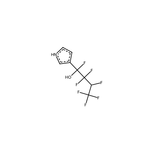 OC(F)(c1cc[nH]c1)C(F)(F)C(F)C(F)(F)F